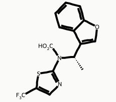 C[C@@H](c1coc2ccccc12)N(C(=O)O)c1ncc(C(F)(F)F)s1